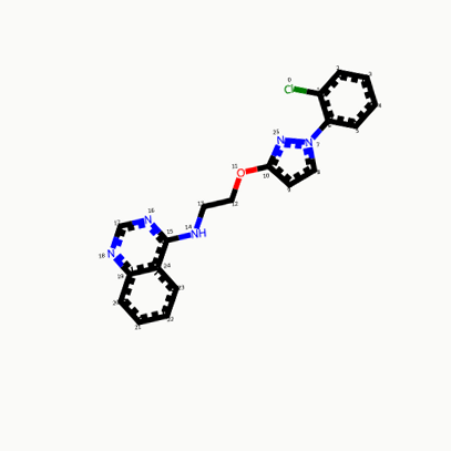 Clc1ccccc1-n1ccc(OCCNc2ncnc3ccccc23)n1